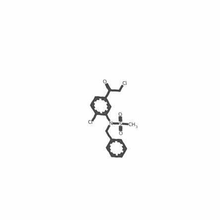 CS(=O)(=O)N(Cc1ccccc1)c1cc(C(=O)CCl)ccc1Cl